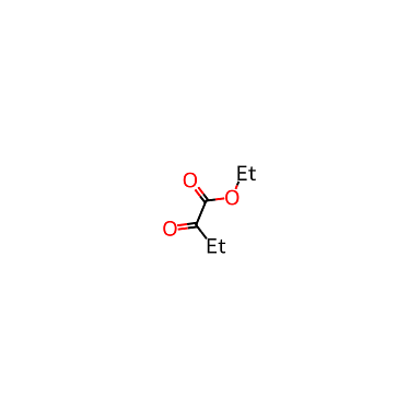 [CH2]CC(=O)C(=O)OCC